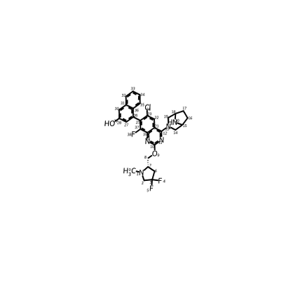 CN1CC(F)(F)C[C@H]1COc1nc(N2CC3CCC(C2)N3)c2cc(Cl)c(-c3cc(O)cc4ccccc34)c(F)c2n1